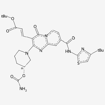 CC(C)(C)OC(=O)C=Cc1c(N2CCC[C@@H](OC(N)=O)C2)nc2cc(C(=O)Nc3nc(C(C)(C)C)cs3)ccn2c1=O